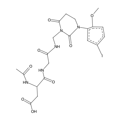 COc1ccc(I)cc1N1CCC(=O)N(CNC(=O)CNC(=O)C(CC(=O)O)NC(C)=O)C1=O